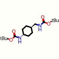 CC(C)(C)OC(=O)NC[C@H]1CC[C@H](NC(=O)OC(C)(C)C)CC1